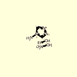 CCO.Nn1cnnc1.O=[N+]([O-])O